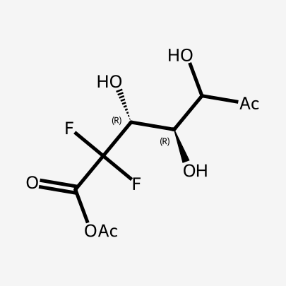 CC(=O)OC(=O)C(F)(F)[C@H](O)[C@H](O)C(O)C(C)=O